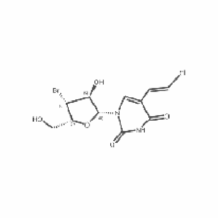 O=c1[nH]c(=O)n([C@@H]2O[C@H](CO)[C@H](Br)[C@H]2O)cc1C=CCl